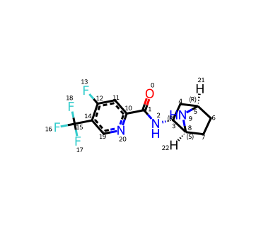 O=C(N[C@@H]1C[C@H]2CC[C@@H]1N2)c1cc(F)c(C(F)(F)F)cn1